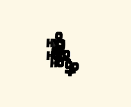 CC(C)(C)C(=O)OCC1OC(n2ccc(=O)[nH]c2=O)C(O)C1O